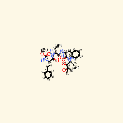 CC(C)C[C@H](NC(=O)[C@H](CCc1ccccc1)NC(=O)OC(C)(C)C)C(=O)N[C@@H](Cc1ccccc1)C(=O)N[C@H](CC(C)C)C(=O)C1(C)CO1